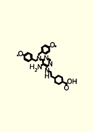 COc1ccc(CN(Cc2ccc(OC)cc2)c2ncnc(NCCC3CCC(C(=O)O)CC3)c2N)cc1